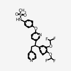 CS(=O)(=O)Nc1ccc(Oc2ccc(C(Cc3ccncc3)c3ccc(OC(F)F)c(OC(F)F)c3)cn2)cc1